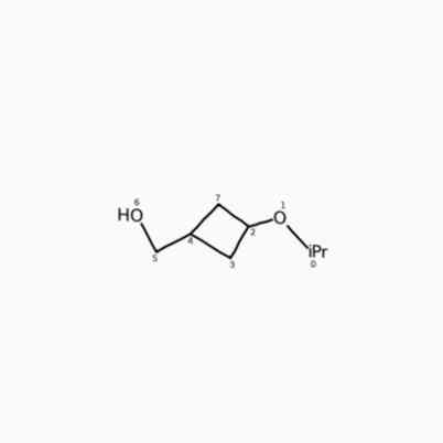 CC(C)OC1CC(CO)C1